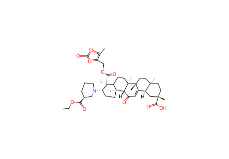 CCOC(=O)[C@H]1CCCN([C@H]2CC[C@@]3(C)C(CC[C@]4(C)[C@@H]3C(=O)C=C3[C@@H]5C[C@@](C)(C(=O)O)CC[C@]5(C)CC[C@]34C)[C@]2(C)C(=O)OCc2oc(=O)oc2C)C1